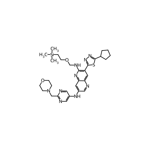 C[Si](C)(C)CCOCNc1nc2cc(Nc3cnc(CN4CCOCC4)nc3)cnc2cc1-c1nnc(C2CCCC2)s1